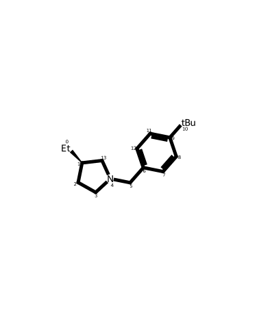 CC[C@@H]1CCN(Cc2ccc(C(C)(C)C)cc2)C1